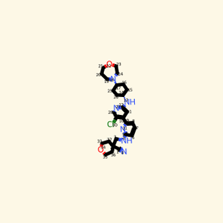 N#CC1(CNc2cccc(-c3cc(N[C@H]4CC[C@H](N5CCCOCC5)CC4)ncc3Cl)n2)CCOCC1